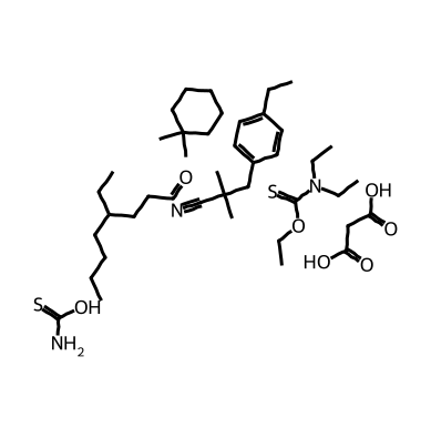 CC1(C)CCCCC1.CCCCC(CC)CCC=O.CCOC(=S)N(CC)CC.CCc1ccc(CC(C)(C)C#N)cc1.NC(O)=S.O=C(O)CC(=O)O